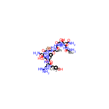 CC[C@H](C)[C@H](N)C(=O)NCC(=O)N[C@@H](CCC(N)=O)C(=O)N[C@@H](CO)C(=O)NCC(=O)N[C@@H](CC(C)C)C(=O)NCC(=O)N[C@@H](CS)C(=O)N[C@@H](CC(N)=O)C(=O)N[C@@H](CO)C(=O)N[C@@H](Cc1ccccc1)C(=O)N[C@@H](CCCNC(=N)N)C(=O)N[C@@H](Cc1ccc(O)cc1)C(=O)O